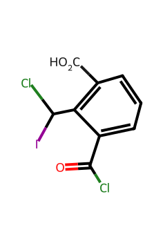 O=C(O)c1cccc(C(=O)Cl)c1C(Cl)I